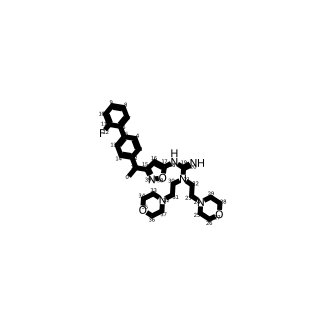 CC(c1ccc(-c2ccccc2F)cc1)c1cc(NC(=N)N(CCN2CCOCC2)CCN2CCOCC2)on1